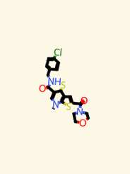 Cn1cc(C(=O)NCc2ccc(Cl)cc2)c(=S)c2cc(C(=O)N3CCOCC3)sc21